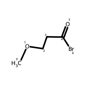 COCCC(=O)Br